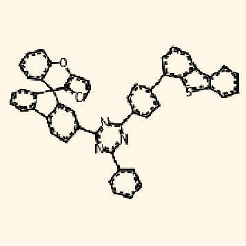 c1ccc(-c2nc(-c3ccc(-c4cccc5c4sc4ccccc45)cc3)nc(-c3ccc4c(c3)C3(c5ccccc5Oc5ccccc53)c3ccccc3-4)n2)cc1